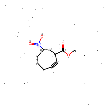 COC(=O)C1C#CCCCC([N+](=O)[O-])C1